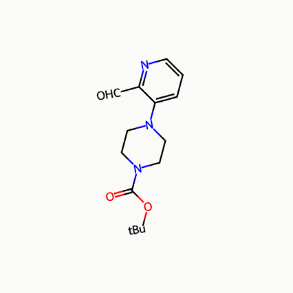 CC(C)(C)OC(=O)N1CCN(c2cccnc2C=O)CC1